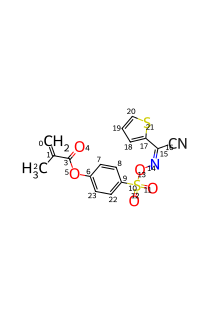 C=C(C)C(=O)Oc1ccc(S(=O)(=O)ON=C(C#N)c2cccs2)cc1